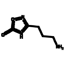 NCCCc1noc(=O)[nH]1